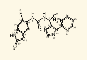 C[C@H](NC(=O)Nc1cc2oc(=O)[nH]c2cc1F)c1ncnn1-c1ncccn1